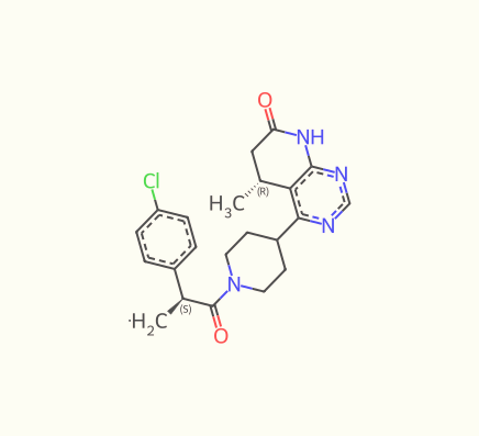 [CH2][C@H](C(=O)N1CCC(c2ncnc3c2[C@H](C)CC(=O)N3)CC1)c1ccc(Cl)cc1